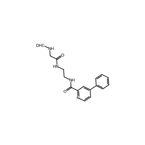 O=CNCC(=O)NCCNC(=O)c1cc(-c2ccccc2)ccn1